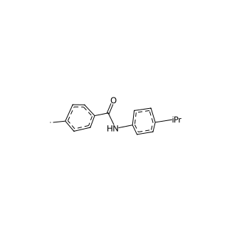 [CH2]c1ccc(C(=O)Nc2ccc(C(C)C)cc2)cc1